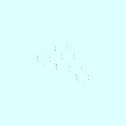 Nc1c(S(=O)(=O)O)cc(Nc2ccccc2C(=O)O)c2c1C(=O)c1ccccc1C2=O